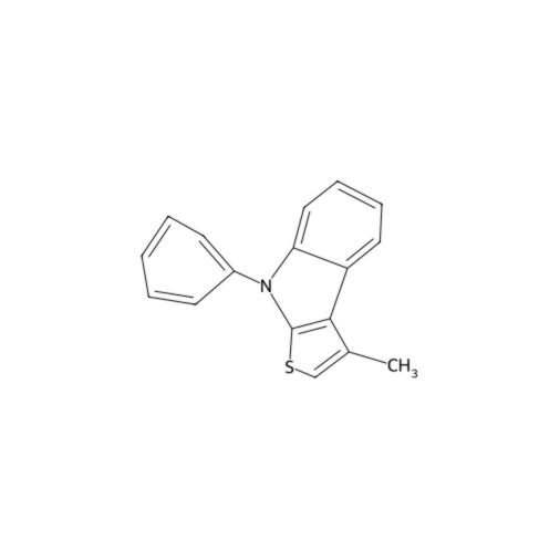 Cc1csc2c1c1ccccc1n2-c1ccccc1